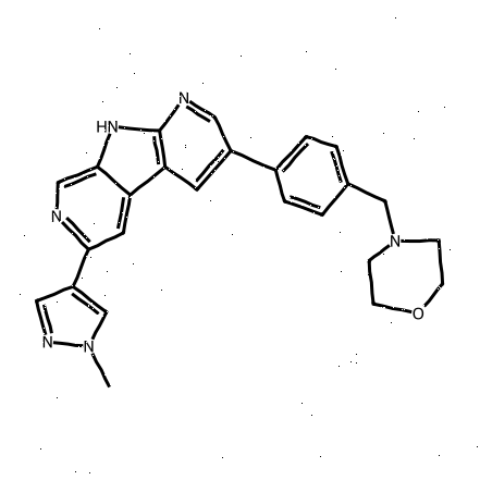 Cn1cc(-c2cc3c(cn2)[nH]c2ncc(-c4ccc(CN5CCOCC5)cc4)cc23)cn1